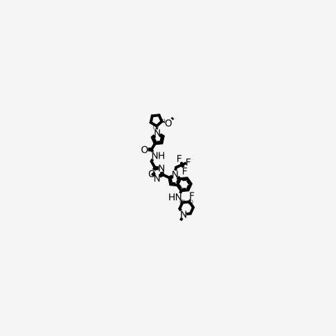 CO[C@H]1CCC[C@@H]1n1ccc(C(=O)NCc2nc(-c3cc4c(N[C@@H]5CN(C)CC[C@@H]5F)cccc4n3CC(F)(F)F)no2)c1